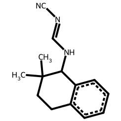 CC1(C)CCc2ccccc2C1NC=NC#N